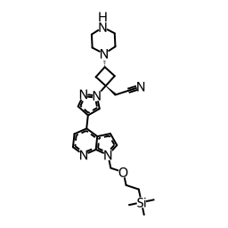 C[Si](C)(C)CCOCn1ccc2c(-c3cnn([C@]4(CC#N)C[C@H](N5CCNCC5)C4)c3)ccnc21